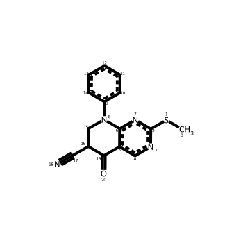 CSc1ncc2c(n1)N(c1ccccc1)CC(C#N)C2=O